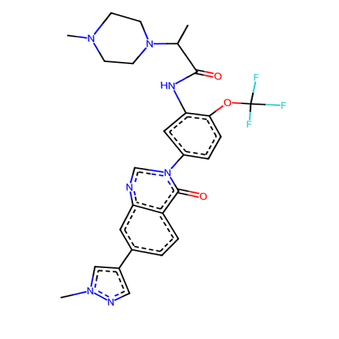 CC(C(=O)Nc1cc(-n2cnc3cc(-c4cnn(C)c4)ccc3c2=O)ccc1OC(F)(F)F)N1CCN(C)CC1